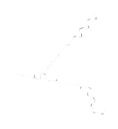 CC/C=C\C/C=C\C/C=C\C/C=C\C/C=C\C/C=C\CCC(=O)NCCOCCOCC(=O)NCCCC[C@@H](CC(=O)NCCCCCCOC)NC(=O)CCCNC(=O)COCCOCCNC(=O)CC/C=C\C/C=C\C/C=C\C/C=C\C/C=C\C/C=C\CC